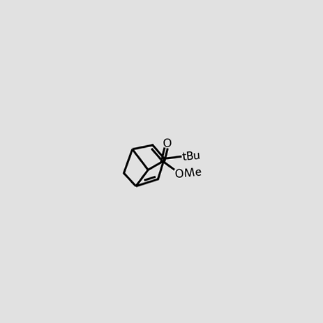 COC(=O)C1C2=CC(C(C)(C)C)=CC1C2